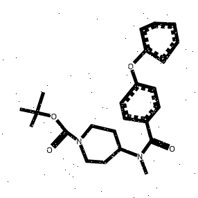 CN(C(=O)c1ccc(Oc2ccccc2)cc1)C1CCN(C(=O)OC(C)(C)C)CC1